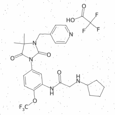 CC1(C)C(=O)N(c2ccc(OC(F)(F)F)c(NC(=O)CNC3CCCC3)c2)C(=O)N1Cc1ccncc1.O=C(O)C(F)(F)F